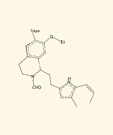 C/C=C\c1[nH]c(CCC2c3cc(OCC)c(OC)cc3CCN2C=O)cc1C